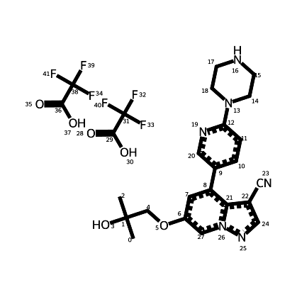 CC(C)(O)COc1cc(-c2ccc(N3CCNCC3)nc2)c2c(C#N)cnn2c1.O=C(O)C(F)(F)F.O=C(O)C(F)(F)F